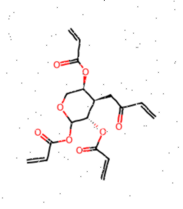 C=CC(=O)C[C@H]1[C@H](OC(=O)C=C)C(OC(=O)C=C)OC[C@H]1OC(=O)C=C